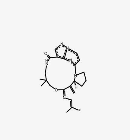 C=C1/C(=N\C=C(/C)F)OCC(C)(C)CNC(=O)c2cnn3ccc(nc23)N2CCC[C@H]12